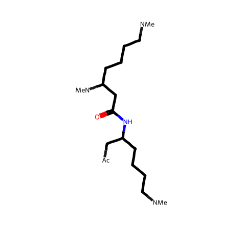 CNCCCCC(CC(=O)NC(CCCCNC)CC(C)=O)NC